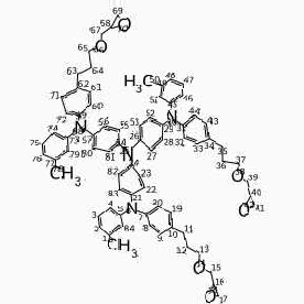 Cc1cccc(N(c2ccc(CCCOCC3CO3)cc2)c2ccc(N(c3ccc(N(c4ccc(CCCOCC5CO5)cc4)c4cccc(C)c4)cc3)c3ccc(N(c4ccc(CCCOCC5CO5)cc4)c4cccc(C)c4)cc3)cc2)c1